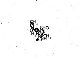 CCCCNc1nc(N)nc(/C=C\N(C=O)Cc2ccc(C(=O)N3CCN(C)CC3)cc2)c1C